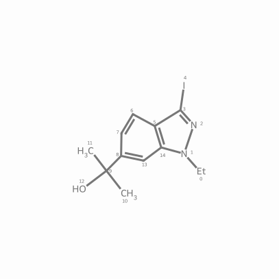 CCn1nc(I)c2ccc(C(C)(C)O)cc21